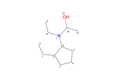 CCC1CCCC1N(CC)C(C)O